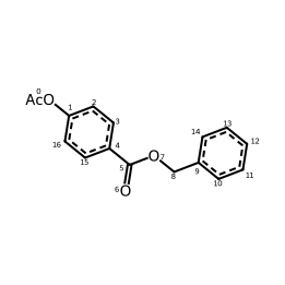 CC(=O)Oc1ccc(C(=O)OCc2ccccc2)cc1